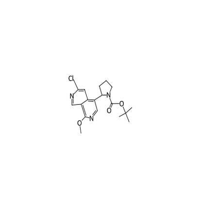 COc1ncc(C2CCCN2C(=O)OC(C)(C)C)c2cc(Cl)ncc12